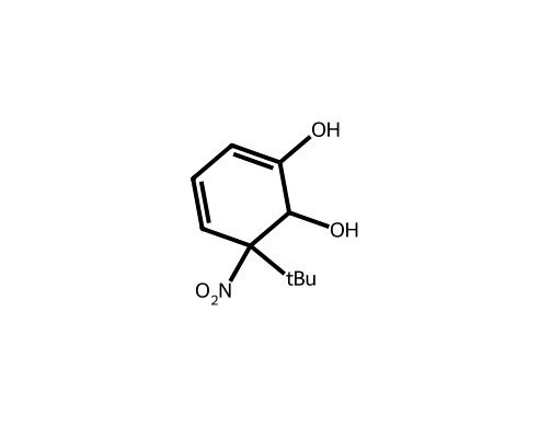 CC(C)(C)C1([N+](=O)[O-])C=CC=C(O)C1O